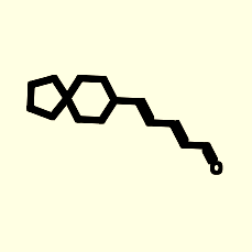 O=C/C=C/C=C/C1CCC2(CCCC2)CC1